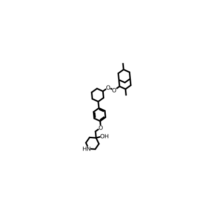 CC1CC2CC(C)C(OOC3CCCC(c4ccc(OCC5(O)CCNCC5)cc4)C3)C(C1)C2